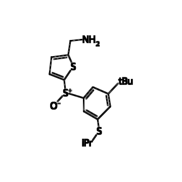 CC(C)Sc1cc([S+]([O-])c2ccc(CN)s2)cc(C(C)(C)C)c1